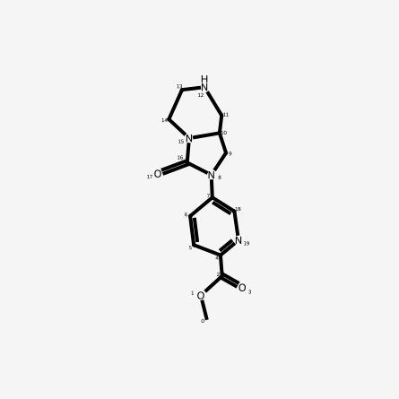 COC(=O)c1ccc(N2CC3CNCCN3C2=O)cn1